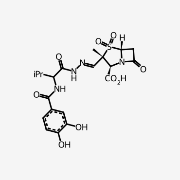 CC(C)C(NC(=O)c1ccc(O)c(O)c1)C(=O)N/N=C/[C@@]1(C)[C@H](C(=O)O)N2C(=O)C[C@H]2S1(=O)=O